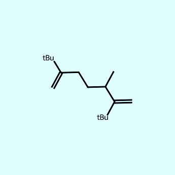 C=C(CCC(C)C(=C)C(C)(C)C)C(C)(C)C